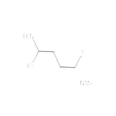 CN[C@H](CCC(N)O)C(C)=O